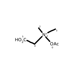 CC(=O)O[N+](C)(C)CC(=O)O